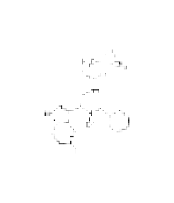 CC(C)(C)OC(=O)NCC(c1c[nH]c2ccc(F)cc12)/[N+]([O-])=C/c1ccccc1